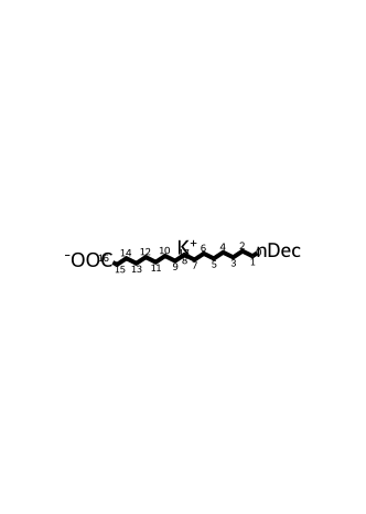 CCCCCCCCCCCCCCCCCCCCCCCCCC(=O)[O-].[K+]